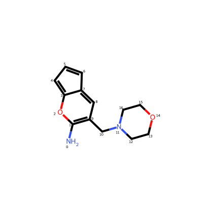 Nc1oc2cccc-2cc1CN1CCOCC1